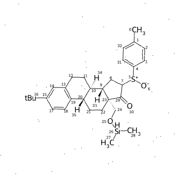 Cc1ccc([S+]([O-])C2C[C@H]3[C@@H]4CCc5cc(C(C)(C)C)ccc5[C@H]4CC[C@]3(CO[SiH](C)C)C2=O)cc1